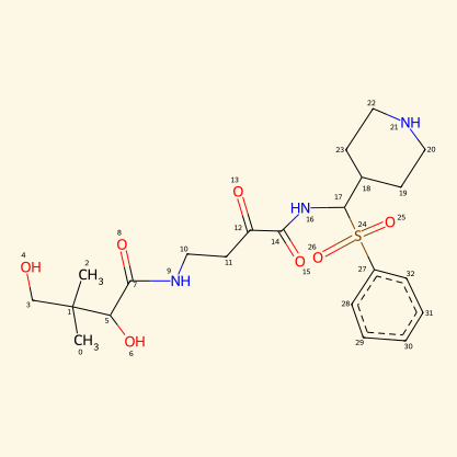 CC(C)(CO)C(O)C(=O)NCCC(=O)C(=O)NC(C1CCNCC1)S(=O)(=O)c1ccccc1